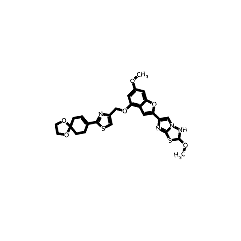 COc1cc(OCc2csc(C3=CCC4(CC3)OCCO4)n2)c2cc(-c3cn4c(n3)SC(OC)N4)oc2c1